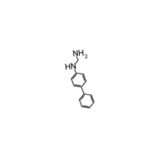 NCNc1ccc(-c2ccccc2)cc1